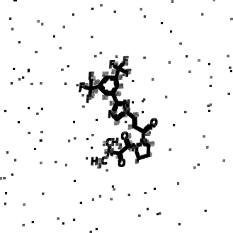 CN(C)C(=O)C(=O)N1CCCN1C(=O)C=Cn1cnc(-c2cc(C(F)(F)F)cc(C(F)(F)F)c2)n1